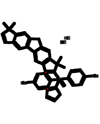 Cl.Cl.[CH2]=[Zr]([C]1=CC=CC1)([C]1=Cc2cc3c(cc2C1(C)C)Cc1cc2c(cc1-3)C=CC2(C)C)([c]1ccc(C(C)(C)C)cc1)[c]1ccc(C(C)(C)C)cc1